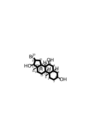 C[C@]12CC[C@H](O)C[C@@H]1C[C@H](O)[C@@H]1[C@@H]2CC[C@]2(C)[C@@H](O)C(Br)C[C@@H]12